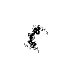 CN(C)c1cccc2c(C=CS(=O)(=O)C=Cc3cccc4c(N(C)C)cccc34)cccc12